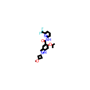 CO[C@H]1C[C@H](n2cc3cc(C(=O)Nc4cccc(C(F)F)n4)c(OC(C)C)cc3n2)C1